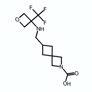 O=C(O)N1CC2(CC(CNC3(C(F)(F)F)COC3)C2)C1